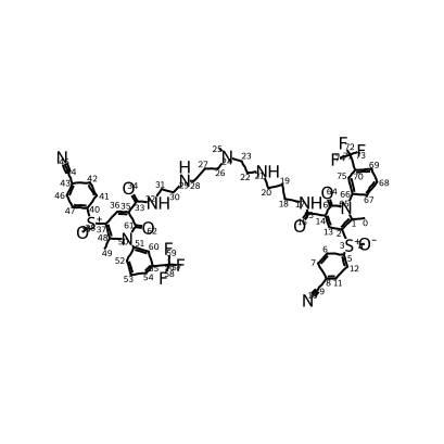 Cc1c([S+]([O-])c2ccc(C#N)cc2)cc(C(=O)NCCCNCCN(C)CCCNCCNC(=O)c2cc([S+]([O-])c3ccc(C#N)cc3)c(C)n(-c3cccc(C(F)(F)F)c3)c2=O)c(=O)n1-c1cccc(C(F)(F)F)c1